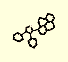 c1ccc(-c2coc(-c3ccc4ccc5cccc6ccc3c4c56)c2-c2ccccc2)cc1